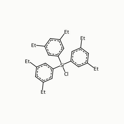 CCc1cc(CC)cc([Si](Cl)(c2cc(CC)cc(CC)c2)c2cc(CC)cc(CC)c2)c1